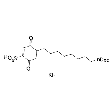 CCCCCCCCCCCCCCCCCCC1CC(=O)C(S(=O)(=O)O)=CC1=O.[KH]